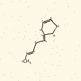 CC=CCC=C1CC=CCC1